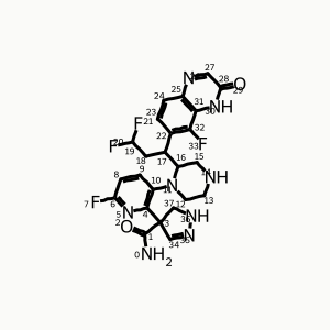 NC(=O)C1(c2nc(F)ccc2N2CCNCC2C(CC(F)F)c2ccc3ncc(=O)[nH]c3c2F)C=NNC1